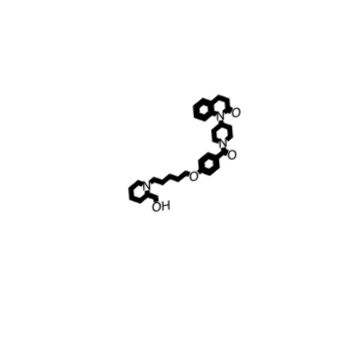 O=C(c1ccc(OCCCCCN2CCCCC2CO)cc1)N1CCC(N2C(=O)CCc3ccccc32)CC1